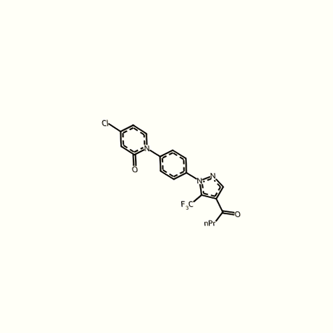 CCCC(=O)c1cnn(-c2ccc(-n3ccc(Cl)cc3=O)cc2)c1C(F)(F)F